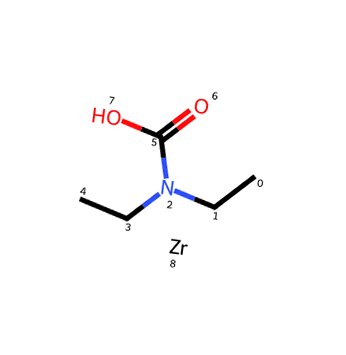 CCN(CC)C(=O)O.[Zr]